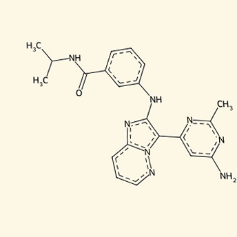 Cc1nc(N)cc(-c2c(Nc3cccc(C(=O)NC(C)C)c3)nc3cccnn23)n1